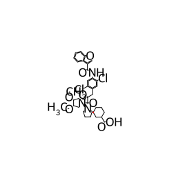 CO[C@H]1CN(C(OC2CCC(C(=O)O)CC2)(C(=O)Cc2cc(Cl)c(NC(=O)c3coc4ccccc34)cc2Cl)N2CCCC2)C[C@@H]1OC